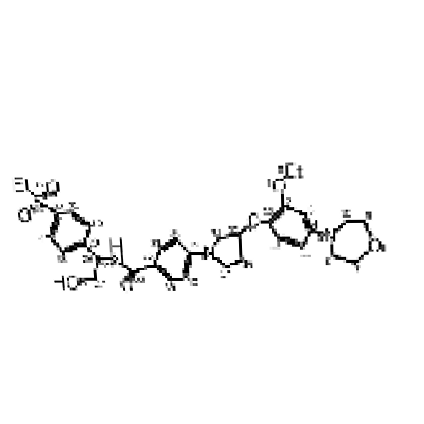 CCOc1cc(N2CCOCC2)ccc1OC1CCN(c2ccc(C(=O)N[C@@H](CO)c3ccc(S(=O)(=O)CC)cc3)cc2)C1